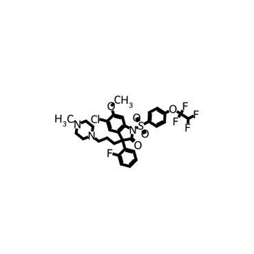 COc1cc2c(cc1Cl)C(CCCN1CCN(C)CC1)(c1ccccc1F)C(=O)N2S(=O)(=O)c1ccc(OC(F)(F)C(F)F)cc1